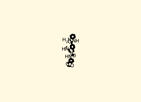 CNCCN(Cc1ccc(C(=O)Nc2ccccc2N)cc1)C(=O)Nc1ccc2c(c1)OCCO2